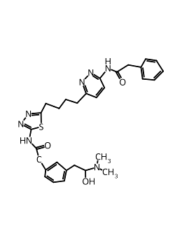 CN(C)C(O)Cc1cccc(CC(=O)Nc2nnc(CCCCc3ccc(NC(=O)Cc4ccccc4)nn3)s2)c1